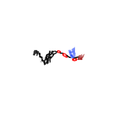 CC(C)CCC[C@@H](C)C1CC[C@H]2[C@@H]3CC=C4C[C@@H](OCCOCCNC(=O)CBr)CC[C@]4(C)[C@H]3CC[C@]12C